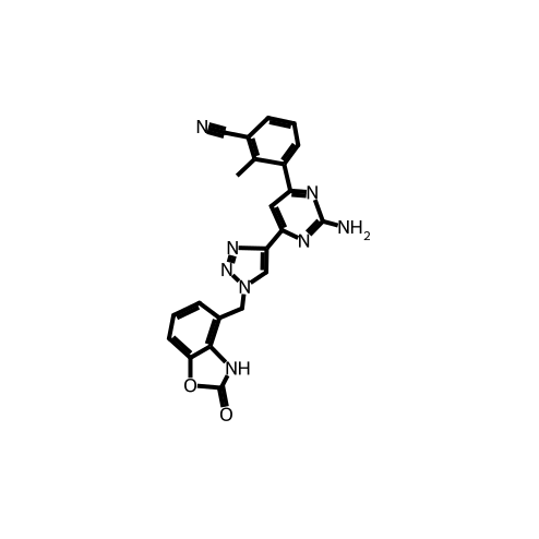 Cc1c(C#N)cccc1-c1cc(-c2cn(Cc3cccc4oc(=O)[nH]c34)nn2)nc(N)n1